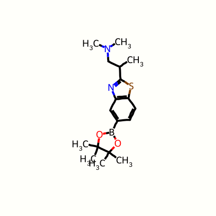 CC(CN(C)C)c1nc2cc(B3OC(C)(C)C(C)(C)O3)ccc2s1